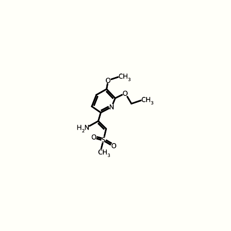 CCOc1nc(/C(N)=C/S(C)(=O)=O)ccc1OC